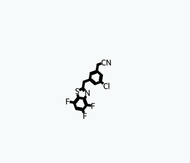 N#CCc1cc(Cl)cc(Cc2nc3c(F)c(F)cc(F)c3s2)c1